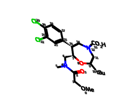 COCC(=O)N(C)C[C@H]1OC(C(C)(C)C)CN(C(=O)O)C[C@H]1c1ccc(Cl)c(Cl)c1